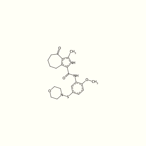 COc1ccc(SN2CCOCC2)cc1NC(=O)c1[nH]c(C)c2c1CCCCC2=O